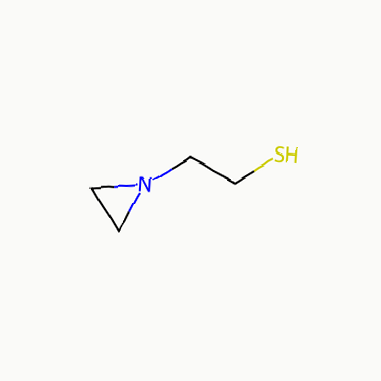 SCCN1CC1